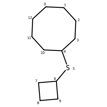 C1CCCC(SC2CCC2)CCC1